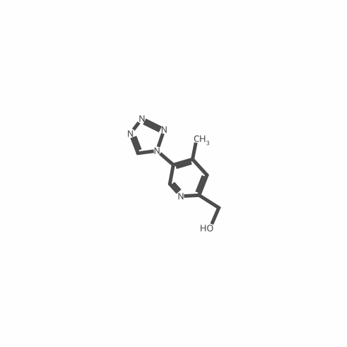 Cc1cc(CO)ncc1-n1cnnn1